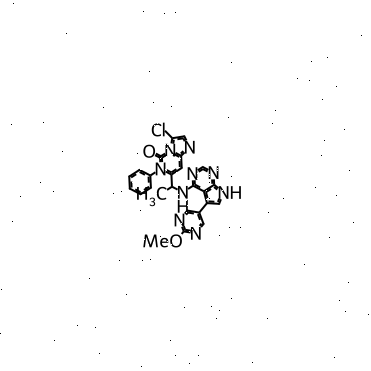 COc1ncc(-c2c[nH]c3ncnc(NC(C)c4cc5ncc(Cl)n5c(=O)n4-c4ccccc4)c23)cn1